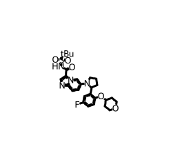 CC(C)(C)S(=O)(=O)NC(=O)c1cnc2ccc(N3CCCC3c3cc(F)ccc3OC3CCOCC3)cn12